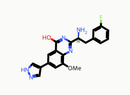 COc1cc(-c2cn[nH]c2)cc2c(O)nc([C@@H](N)Cc3cccc(F)c3)nc12